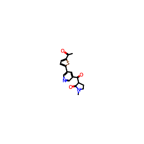 CC(=O)c1ccc(-c2cncc(C(=O)C3CCN(C)C3=O)c2)s1